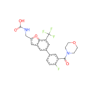 O=C(O)NCc1cc2cc(-c3ccc(F)c(C(=O)N4CCOCC4)c3)cc(C(F)(F)F)c2o1